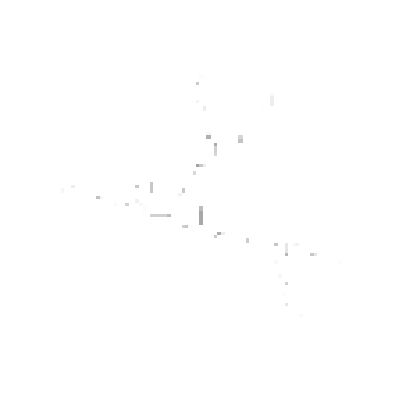 CCCCCC(O)CC(CC(=O)NCCCN(CCCC)CCCC)NCCCN(CCCC)CCCC